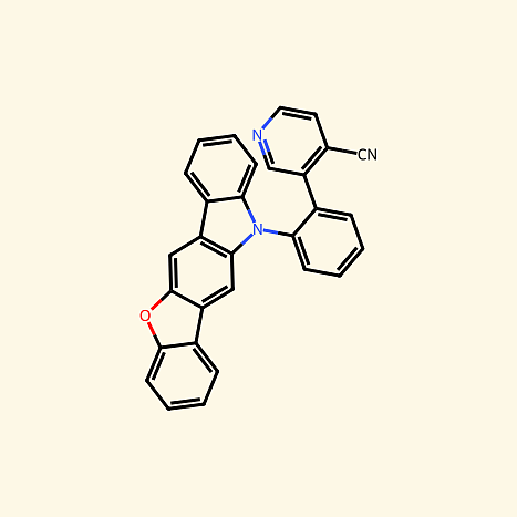 N#Cc1ccncc1-c1ccccc1-n1c2ccccc2c2cc3oc4ccccc4c3cc21